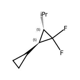 CC(C)[C@H]1[C@H](C2CC2)C1(F)F